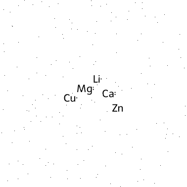 [Ca].[Cu].[Li].[Mg].[Zn]